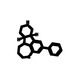 c1ccc(-c2cc3c4c(c2)[C@H]2CNCC[C@H]2N4CCCS3)cc1